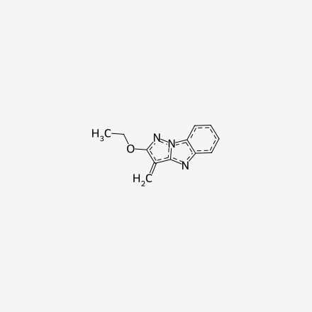 C=c1c(OCC)nn2c1nc1ccccc12